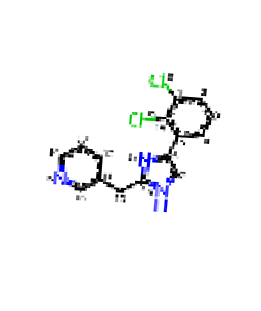 Clc1cccc(-c2c[nH]c(Cc3cccnc3)n2)c1Cl